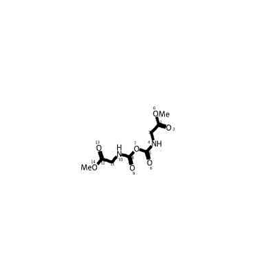 COC(=O)CNC(=O)OC(=O)NCC(=O)OC